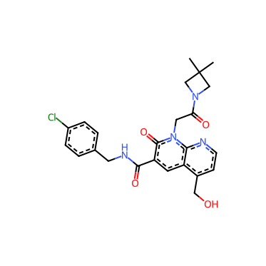 CC1(C)CN(C(=O)Cn2c(=O)c(C(=O)NCc3ccc(Cl)cc3)cc3c(CO)ccnc32)C1